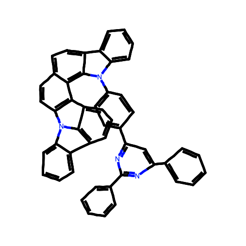 c1ccc(-c2cc(-c3ccc(-n4c5ccccc5c5ccc6ccc7c(c8cccc9c%10ccccc%10n7c98)c6c54)cc3)nc(-c3ccccc3)n2)cc1